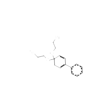 BrCCOC1(OCCBr)C=CC(c2ccccc2)=CC1